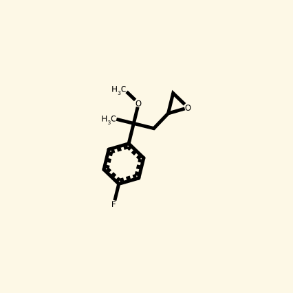 COC(C)(CC1CO1)c1ccc(F)cc1